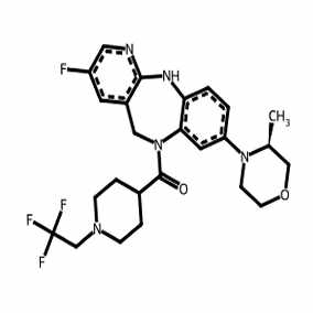 C[C@H]1COCCN1c1ccc2c(c1)N(C(=O)C1CCN(CC(F)(F)F)CC1)Cc1cc(F)cnc1N2